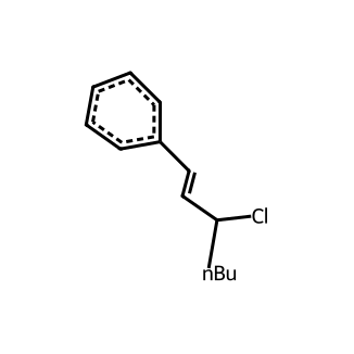 CCCCC(Cl)C=Cc1ccccc1